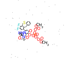 COC(=O)OCOP(=O)(OCOC(=O)OC)OCOc1c2n(c(-c3cc(F)c(F)c4c3Cc3ccccc3SC4)cc1=O)N[C@@H]1COCC3(CC3)N1C2=O